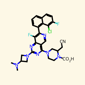 CN(C)C1CN(c2nc(N3CCN(C(=O)O)C(CC#N)C3)c3cnc(-c4cccc5ccc(F)c(Cl)c45)c(F)c3n2)C1